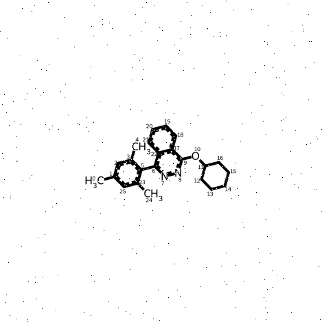 Cc1cc(C)c(-c2nnc(OC3CCCCC3)c3ccccc23)c(C)c1